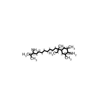 CCC(C)(CCCCCCCCC(N)C(C)C)C1CC(C)C(N)C(C)C1